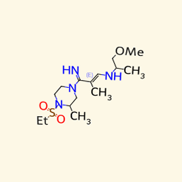 CCS(=O)(=O)N1CCN(C(=N)/C(C)=C/NC(C)COC)CC1C